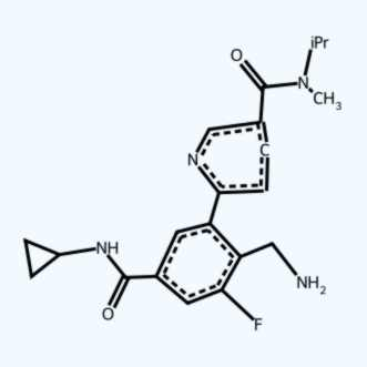 CC(C)N(C)C(=O)c1ccc(-c2cc(C(=O)NC3CC3)cc(F)c2CN)nc1